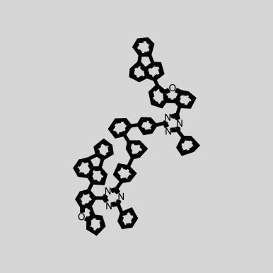 c1ccc(-c2nc(-c3ccc(-c4cccc(-c5ccccc5-c5ccc(-c6nc(-c7ccccc7)nc(-c7cccc8oc9c(-c%10ccc%11c%12c(cccc%10%12)-c%10ccccc%10-%11)cccc9c78)n6)cc5)c4)cc3)nc(-c3c(-c4ccc5c6c(cccc46)-c4ccccc4-5)ccc4oc5ccccc5c34)n2)cc1